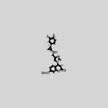 COc1ccc2c(-n3cc(CN[C@@H]4C[C@H]4c4ccc(F)c(F)c4)nn3)cc(=O)oc2c1